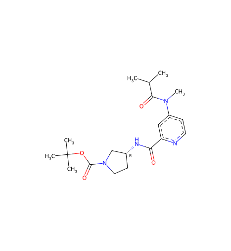 CC(C)C(=O)N(C)c1ccnc(C(=O)N[C@@H]2CCN(C(=O)OC(C)(C)C)C2)c1